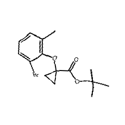 Cc1cccc(Br)c1OC1(C(=O)OC(C)(C)C)CC1